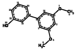 COc1cc(OC)cc(-c2cccc(O)c2)c1